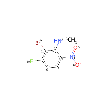 CNc1c([N+](=O)[O-])ccc(F)c1Br